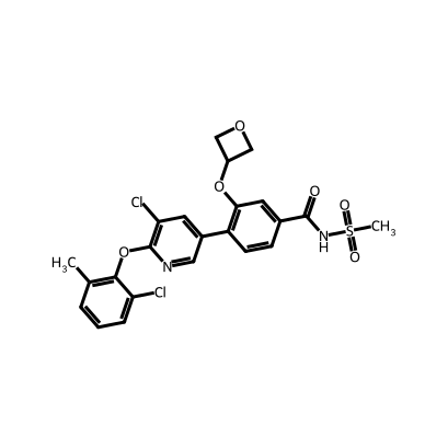 Cc1cccc(Cl)c1Oc1ncc(-c2ccc(C(=O)NS(C)(=O)=O)cc2OC2COC2)cc1Cl